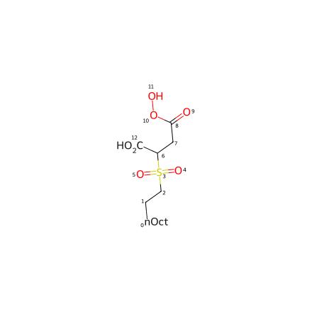 CCCCCCCCCCS(=O)(=O)C(CC(=O)OO)C(=O)O